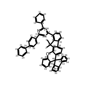 CC1(C)c2c(-c3nc(-c4ccccc4)nc(-c4ccc(-c5ccccc5)cc4)n3)cccc2-c2ccc3c(c21)Oc1ccccc1C31c2ccccc2-c2ccccc21